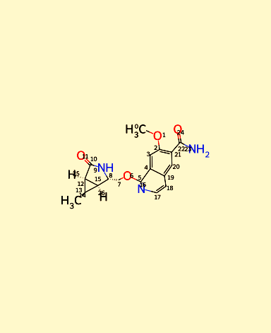 COc1cc2c(OC[C@H]3NC(=O)[C@@H]4[C@H](C)[C@@H]43)nccc2cc1C(N)=O